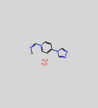 O.O.[H]/N=C\[n+]1ccc(-n2cnnc2)cc1